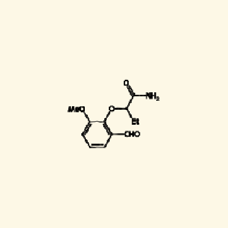 CCC(Oc1c(C=O)cccc1OC)C(N)=O